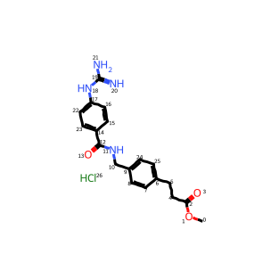 COC(=O)CCc1ccc(CNC(=O)c2ccc(NC(=N)N)cc2)cc1.Cl